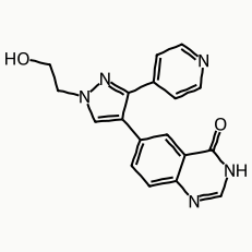 O=c1[nH]cnc2ccc(-c3cn(CCO)nc3-c3ccncc3)cc12